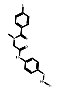 CCNSc1ccc(NC(=O)CN(C)C(=O)c2ccc(F)cc2)cc1